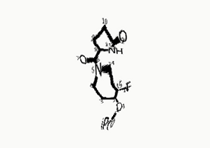 CC(C)O[C@H]1CCN(C(=O)C2CCC(=O)N2)C[C@H]1F